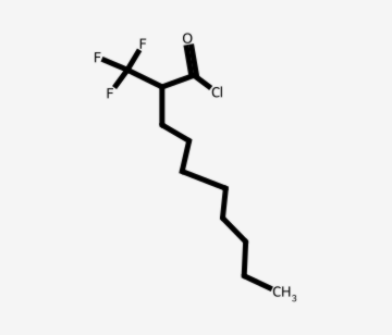 CCCCCCCCC(C(=O)Cl)C(F)(F)F